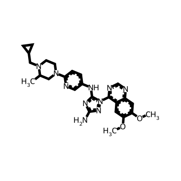 COc1cc2ncnc(-n3nc(N)nc3Nc3ccc(N4CCN(CC5CC5)C(C)C4)nc3)c2cc1OC